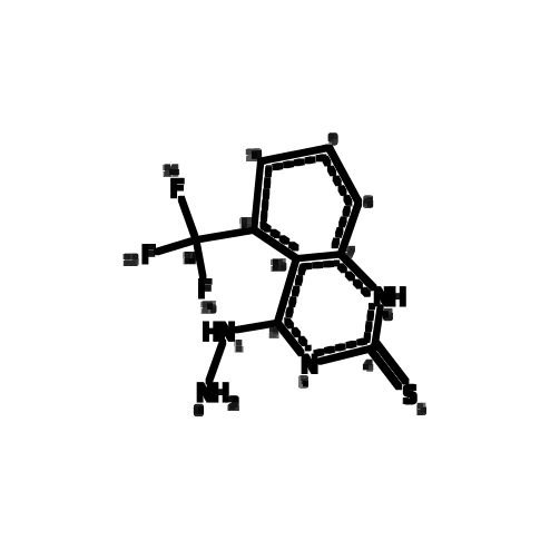 NNc1nc(=S)[nH]c2cccc(C(F)(F)F)c12